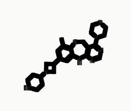 Cc1cc(C2CN(C3CCNCC3)C2)cc2c1OCc1c(ncnc1N1CCOCC1)N2